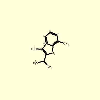 Cc1c(C(C)C)oc2c(C)cccc12